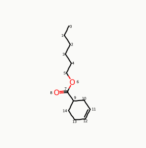 CCCCCCOC(=O)C1CC=CCC1